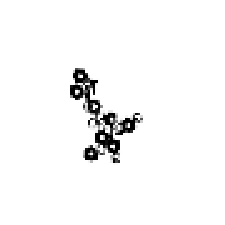 COc1ccc(CN(Cc2ccc(OC)cc2)c2nccc3c2n(-c2ccc(Oc4ccccc4)cc2)c(=O)n3C2CCC(CO[Si](c3ccccc3)(c3ccccc3)C(C)(C)C)OC2)cc1